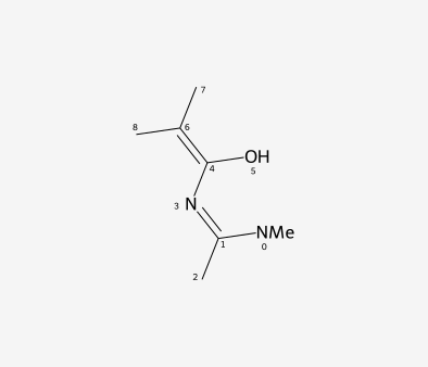 CN/C(C)=N\C(O)=C(C)C